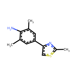 Cc1nc(-c2cc(C)c(N)c(C)c2)cs1